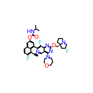 C#Cc1c(F)ccc2cc(OC(=O)NC(C)C)cc(-c3ncc4c(N5CCCOCC5)nc(OC[C@@]56CCCN5C[C@H](F)C6)nc4c3F)c12